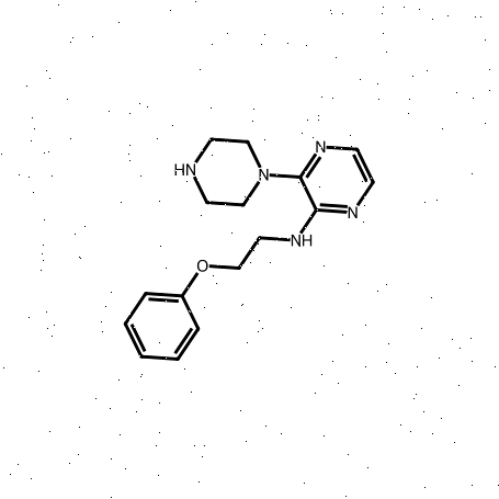 c1ccc(OCCNc2nccnc2N2CCNCC2)cc1